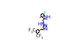 Cc1[nH]c2c(F)ccc(C)c2c1CCNc1ncnc2cc(-c3cc(C(F)(F)F)cc(C(F)(F)F)c3)sc12